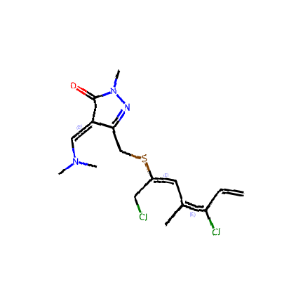 C=C/C(Cl)=C(C)\C=C(/CCl)SCC1=NN(C)C(=O)/C1=C/N(C)C